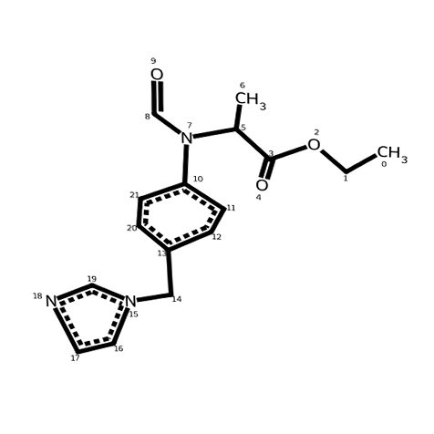 CCOC(=O)C(C)N(C=O)c1ccc(Cn2ccnc2)cc1